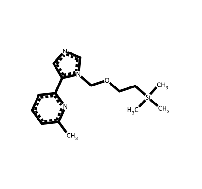 Cc1cccc(-c2cncn2COCC[Si](C)(C)C)n1